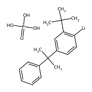 O=P(O)(O)O.[Li][c]1ccc(C(C)(C)c2ccccc2)cc1C(C)(C)C